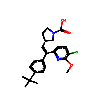 COc1nc(/C(=C\[C@H]2CCN(C(=O)O)C2)c2ccc(C(C)(C)C)cc2)ccc1Cl